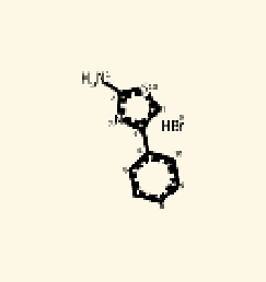 Br.Nc1nc(-c2ccccc2)cs1